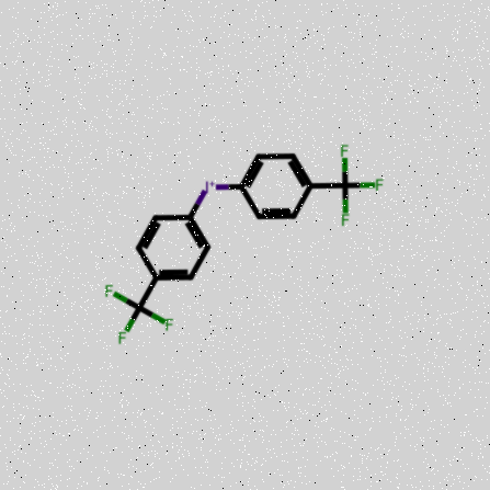 FC(F)(F)c1ccc([I+]c2ccc(C(F)(F)F)cc2)cc1